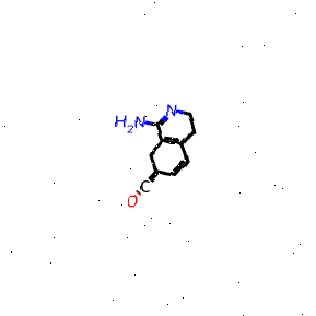 NC1=NCCC2=C1CC(=C=O)C=C2